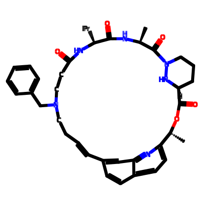 CC(C)[C@@H]1NC(=O)CCN(Cc2ccccc2)CC/C=C/c2ccc3ccc(nc3c2)[C@@H](C)OC(=O)[C@@H]2CCCN(N2)C(=O)[C@H](C)NC1=O